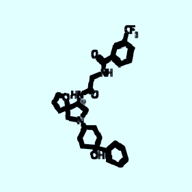 O=C(CNC(=O)c1cccc(C(F)(F)F)c1)N[C@H]1CN(C2CCC(O)(c3ccccc3)CC2)CC12CCCO2